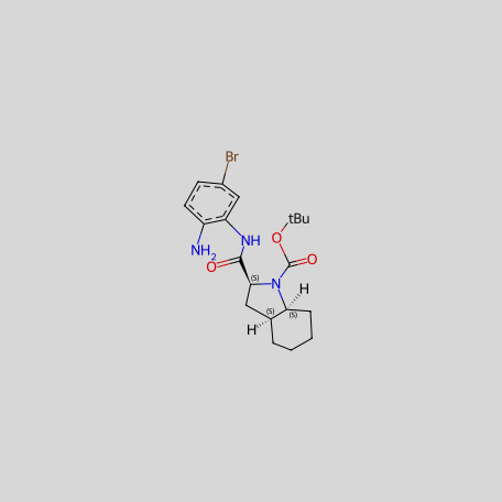 CC(C)(C)OC(=O)N1[C@H](C(=O)Nc2cc(Br)ccc2N)C[C@@H]2CCCC[C@@H]21